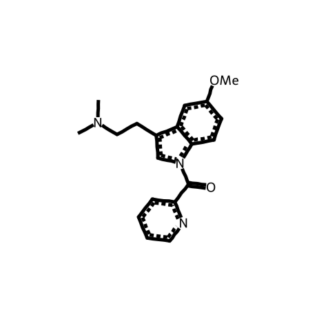 COc1ccc2c(c1)c(CCN(C)C)cn2C(=O)c1ccccn1